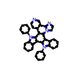 c1ccc(-n2c3ccccc3c3c2c2c4ccncc4c4nccn4c2c2c4ccccc4n(-c4ccccc4)c32)cc1